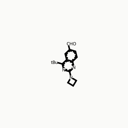 CC(C)(C)c1nc(N2CCC2)nc2ccc(C=O)cc12